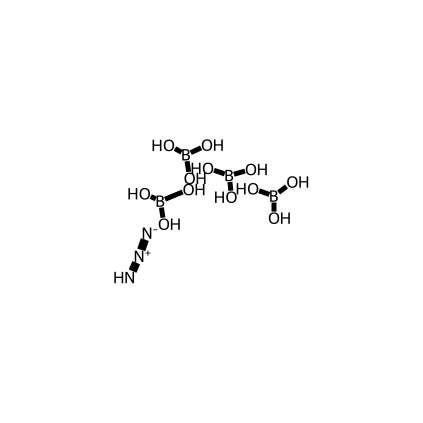 OB(O)O.OB(O)O.OB(O)O.OB(O)O.[N-]=[N+]=N